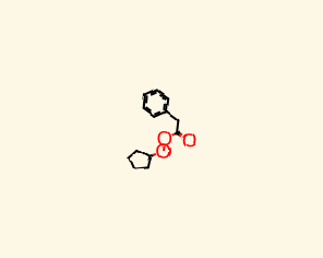 O=C(Cc1ccccc1)OOC1CCCC1